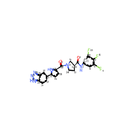 O=C(Nc1cc(F)c(F)c(F)c1)[C@H]1CCN(C(=O)c2ccc(-c3ccc4[nH]nnc4c3)[nH]2)C1